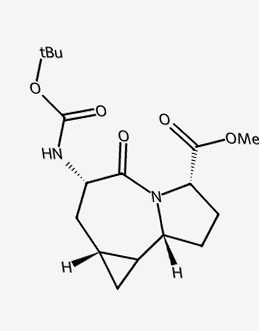 COC(=O)[C@@H]1CC[C@@H]2C3C[C@@H]3C[C@H](NC(=O)OC(C)(C)C)C(=O)N21